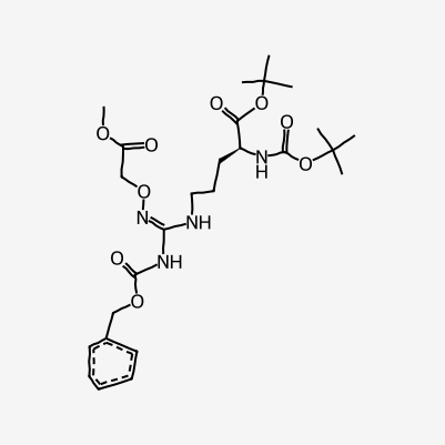 COC(=O)CON=C(NCCC[C@H](NC(=O)OC(C)(C)C)C(=O)OC(C)(C)C)NC(=O)OCc1ccccc1